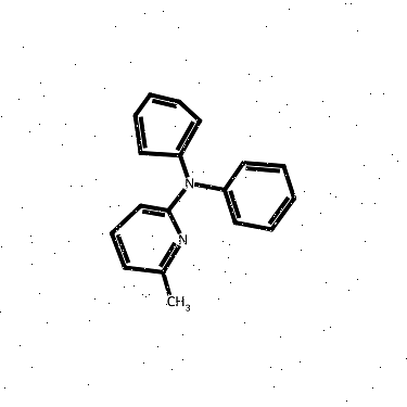 Cc1cccc(N(c2ccccc2)c2ccccc2)n1